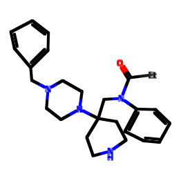 CCC(=O)N(CC1(N2CCN(Cc3ccccc3)CC2)CCNCC1)c1ccccc1